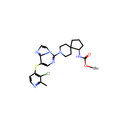 Cc1nccc(Sc2cnc(N3CCC4(CCC[C@H]4NC(=O)OC(C)(C)C)CC3)n3ccnc23)c1Cl